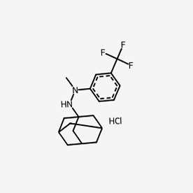 CN(NC12CC3CC(CC(C3)C1)C2)c1cccc(C(F)(F)F)c1.Cl